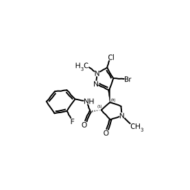 CN1C[C@H](c2nn(C)c(Cl)c2Br)[C@@H](C(=O)Nc2ccccc2F)C1=O